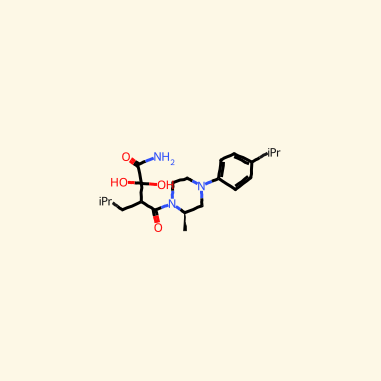 CC(C)CC(C(=O)N1CCN(c2ccc(C(C)C)cc2)C[C@H]1C)C(O)(O)C(N)=O